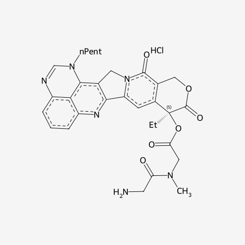 CCCCCN1C=Nc2cccc3nc4c(c1c23)Cn1c-4cc2c(c1=O)COC(=O)[C@@]2(CC)OC(=O)CN(C)C(=O)CN.Cl